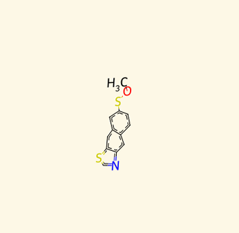 COSc1ccc2cc3ncsc3cc2c1